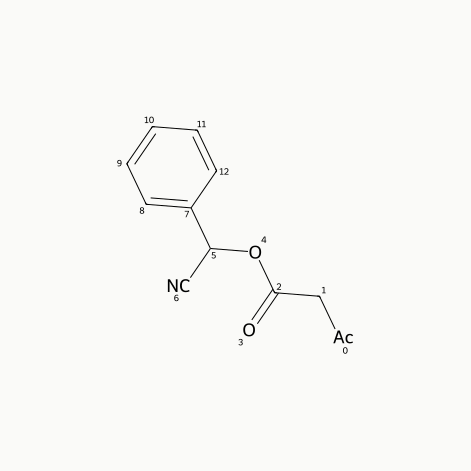 CC(=O)CC(=O)OC(C#N)c1ccccc1